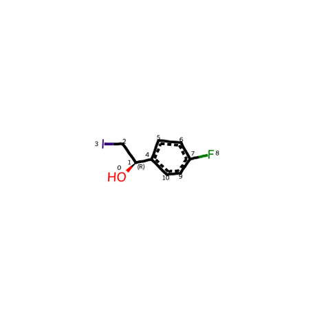 O[C@@H](CI)c1ccc(F)cc1